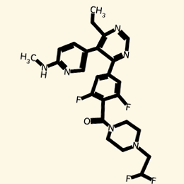 CCc1ncnc(-c2cc(F)c(C(=O)N3CCN(CC(F)F)CC3)c(F)c2)c1-c1ccc(NC)nc1